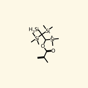 C=C(C)C(=O)OC(C([SiH3])([Si](C)(C)C)[Si](C)(C)C)[Si](C)(C)C